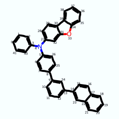 c1ccc(N(c2ccc(-c3cccc(-c4ccc5ccccc5c4)c3)cc2)c2ccc3c(c2)oc2ccccc23)cc1